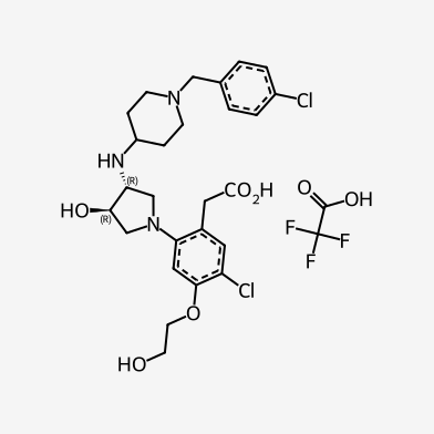 O=C(O)C(F)(F)F.O=C(O)Cc1cc(Cl)c(OCCO)cc1N1C[C@@H](O)[C@H](NC2CCN(Cc3ccc(Cl)cc3)CC2)C1